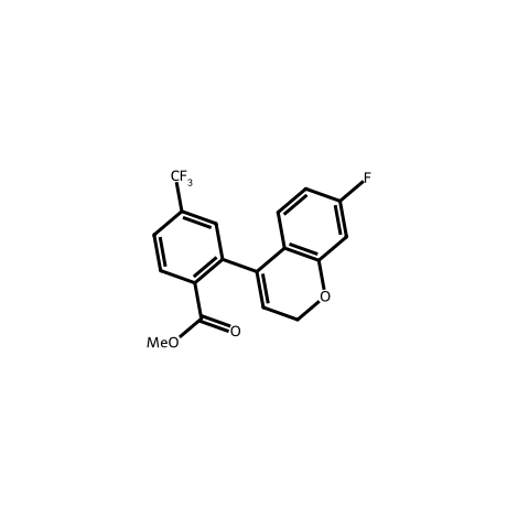 COC(=O)c1ccc(C(F)(F)F)cc1C1=CCOc2cc(F)ccc21